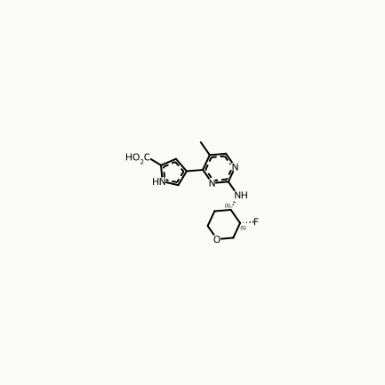 Cc1cnc(N[C@H]2CCOC[C@H]2F)nc1-c1c[nH]c(C(=O)O)c1